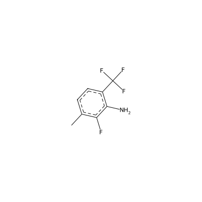 Cc1ccc(C(F)(F)F)c(N)c1F